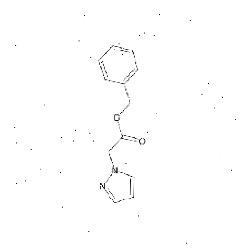 O=C(Cn1cccn1)OCc1ccccc1